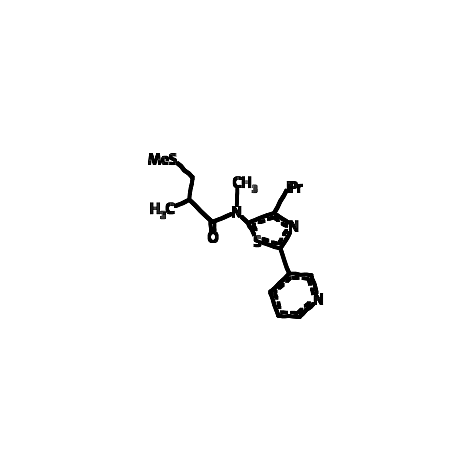 CSCC(C)C(=O)N(C)c1sc(-c2cccnc2)nc1C(C)C